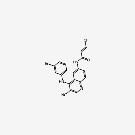 N#Cc1cnc2ccc(NC(=O)C=CCl)cc2c1Nc1cccc(Br)c1